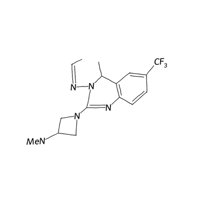 C/C=N\N1C(N2CC(NC)C2)=Nc2ccc(C(F)(F)F)cc2C1C